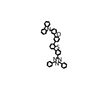 c1ccc(-c2nc(-c3ccccc3)nc(-c3ccc4sc5c(-c6ccc7oc8ccc(-n9c%10ccccc%10c%10ccccc%109)cc8c7c6)cccc5c4c3)n2)cc1